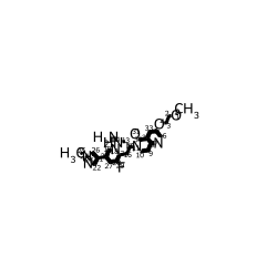 COCCOc1cnc2ccn([C@@H](CNN)Cc3ncc(-c4cnn(C)c4)cc3F)c(=O)c2c1